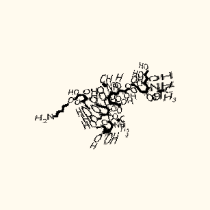 CC(=O)N[C@H]1[C@H](O[C@@H]2[C@H](O[C@]3(C(=O)O)C[C@H](O)[C@@H](NC(C)=O)[C@H]([C@H](O)[C@H](O)CO[C@]4(C(=O)O)C[C@H](O)[C@@H](NC(C)=O)[C@H]([C@H](O)[C@H](O)CO)O4)O3)[C@@H](O)[C@H](O[C@H]3C(O)[C@@H](O)[C@H](OCCCCCN)O[C@@H]3CO)O[C@@H]2CO)O[C@H](CO)[C@H](O)[C@@H]1O